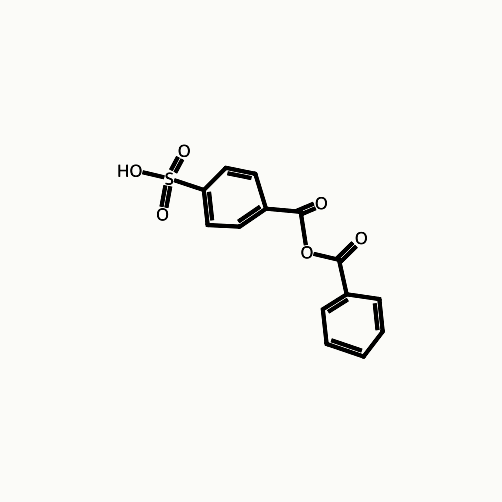 O=C(OC(=O)c1ccc(S(=O)(=O)O)cc1)c1ccccc1